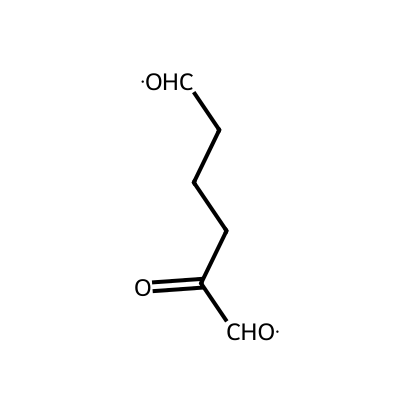 O=[C]CCCC(=O)[C]=O